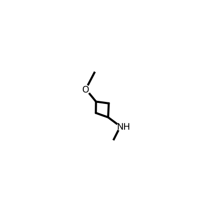 CNC1CC(OC)C1